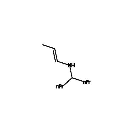 C/C=C/NC(CCC)CCC